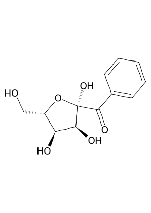 O=C(c1ccccc1)[C@]1(O)O[C@@H](CO)[C@H](O)[C@@H]1O